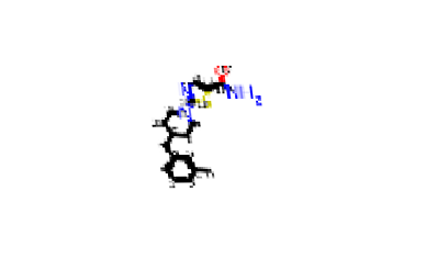 Cc1cccc(CC2CCN(c3ncc(C(N)=O)s3)CC2)c1